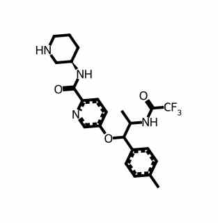 Cc1ccc(C(Oc2ccc(C(=O)N[C@@H]3CCCNC3)nc2)C(C)NC(=O)C(F)(F)F)cc1